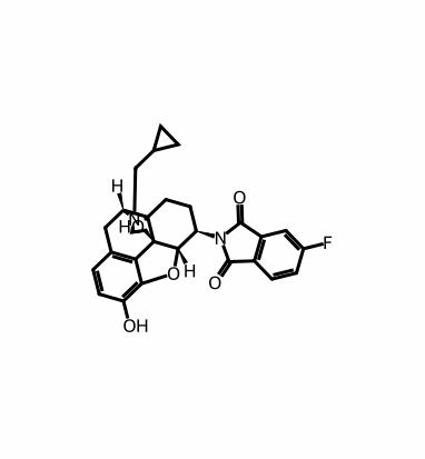 O=C1c2ccc(F)cc2C(=O)N1[C@@H]1CCC2(O)[C@H]3Cc4ccc(O)c5c4[C@@]2(CCN3CC2CC2)[C@H]1O5